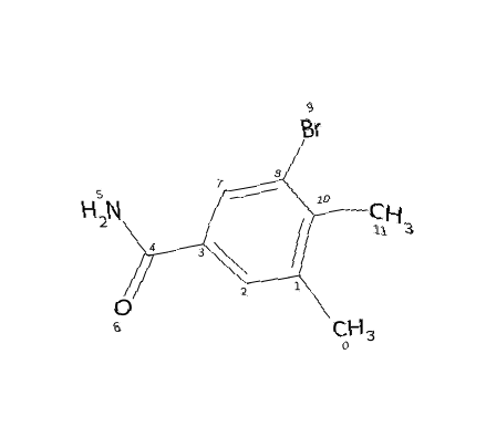 Cc1cc(C(N)=O)cc(Br)c1C